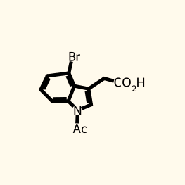 CC(=O)n1cc(CC(=O)O)c2c(Br)cccc21